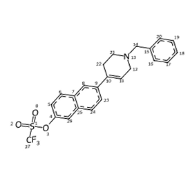 O=S(=O)(Oc1ccc2cc(C3=CCN(Cc4ccccc4)CC3)ccc2c1)C(F)(F)F